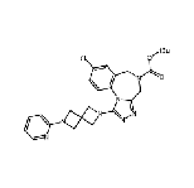 CC(C)(C)OC(=O)N1Cc2cc(Cl)ccc2-n2c(nnc2N2CC3(CN(c4ccccn4)C3)C2)C1